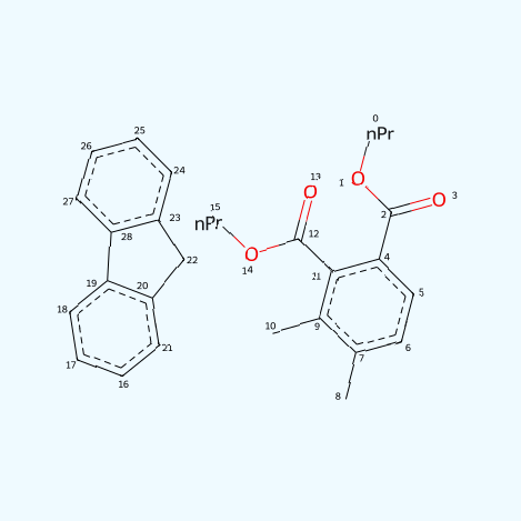 CCCOC(=O)c1ccc(C)c(C)c1C(=O)OCCC.c1ccc2c(c1)Cc1ccccc1-2